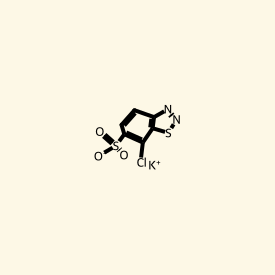 O=S(=O)([O-])c1ccc2nnsc2c1Cl.[K+]